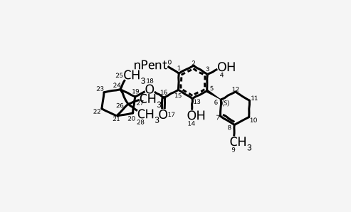 CCCCCc1cc(O)c([C@@H]2C=C(C)CCC2)c(O)c1C(=O)OC1CC2CCC1(C)C2(C)C